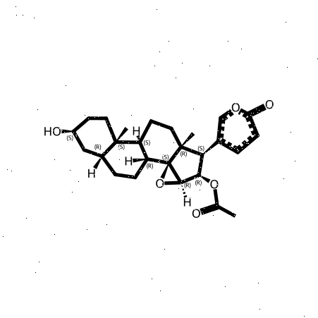 CC(=O)O[C@H]1[C@H]2O[C@]23[C@@H]2CC[C@@H]4C[C@@H](O)CC[C@]4(C)[C@H]2CC[C@]3(C)[C@H]1c1ccc(=O)oc1